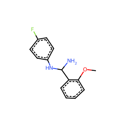 COc1ccccc1C(N)Nc1ccc(F)cc1